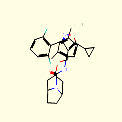 Cc1cc(C(=O)O)ccc1NC(=O)N1C2CCC1CC(OCc1c(-c3c(F)cccc3F)noc1C1CC1)C2